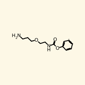 NCCCOCCNC(=O)Oc1c[c]ccc1